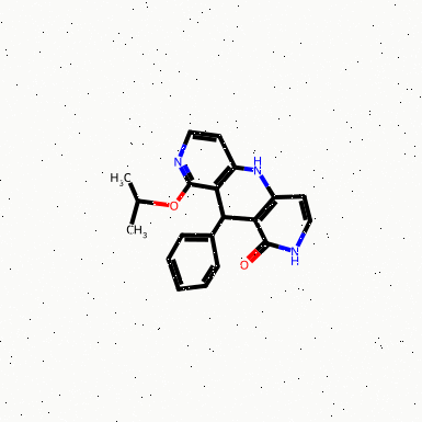 CC(C)Oc1nccc2c1C(c1ccccc1)c1c(cc[nH]c1=O)N2